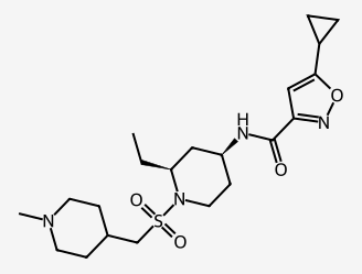 CC[C@H]1C[C@@H](NC(=O)c2cc(C3CC3)on2)CCN1S(=O)(=O)CC1CCN(C)CC1